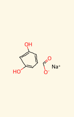 O=C[O-].Oc1cccc(O)c1.[Na+]